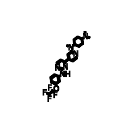 CN(C)C1CCC(N(C)c2cc(-c3ccnc(Nc4cccc(OC(F)(F)C(F)F)c4)n3)ccn2)CC1